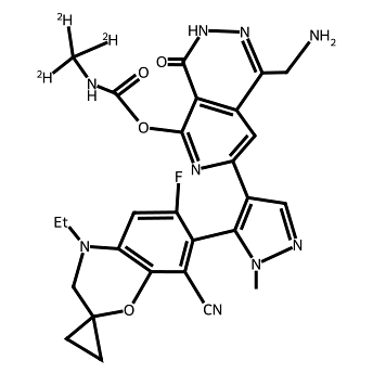 [2H]C([2H])([2H])NC(=O)Oc1nc(-c2cnn(C)c2-c2c(F)cc3c(c2C#N)OC2(CC2)CN3CC)cc2c(CN)n[nH]c(=O)c12